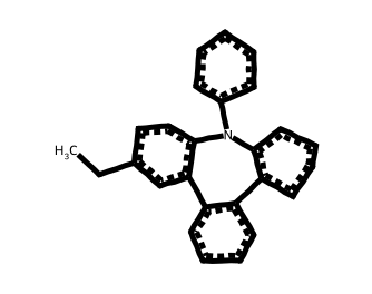 CCc1ccc2c(c1)-c1ccccc1-c1ccccc1N2c1ccccc1